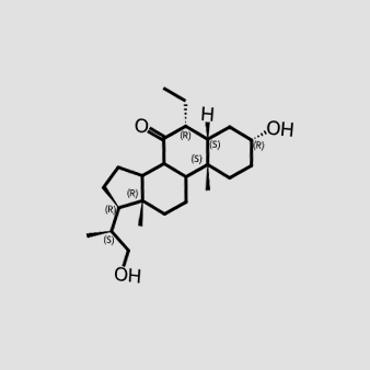 CC[C@H]1C(=O)C2C3CC[C@H]([C@H](C)CO)[C@@]3(C)CCC2[C@@]2(C)CC[C@@H](O)C[C@@H]12